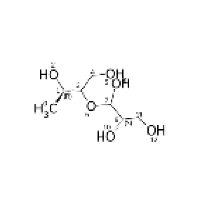 C[C@@H](O)C(CO)OC(O)[C@@H](O)CO